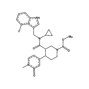 Cn1ccc(C2CCN(C(=O)OC(C)(C)C)CC2C(=O)N(Cc2c[nH]c3cccc(F)c23)C2CC2)cc1=O